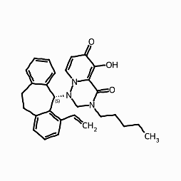 C=Cc1cccc2c1[C@@H](N1CN(CCCCC)C(=O)c3c(O)c(=O)ccn31)c1ccccc1CC2